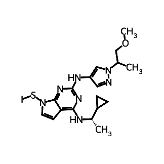 COCC(C)n1cc(Nc2nc(N[C@@H](C)C3CC3)c3ccn(SI)c3n2)cn1